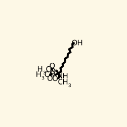 CC(=O)NC(CCCCCCCCCCCCO)(COC(C)=O)COC(C)=O